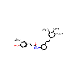 COc1cc(/C=C/C(=O)Nc2cccc(C=Cc3cc(OC)c(OC)c(OC)c3)c2)ccc1O